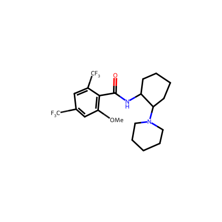 COc1cc(C(F)(F)F)cc(C(F)(F)F)c1C(=O)NC1CCCCC1N1CCCCC1